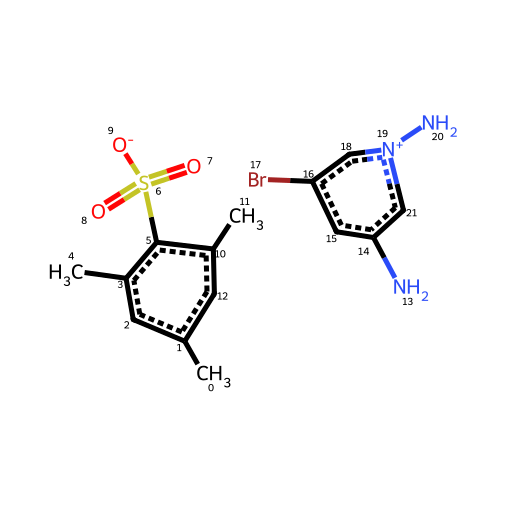 Cc1cc(C)c(S(=O)(=O)[O-])c(C)c1.Nc1cc(Br)c[n+](N)c1